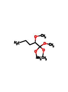 CCCC(OC)C(OC)(OC)O[SiH3]